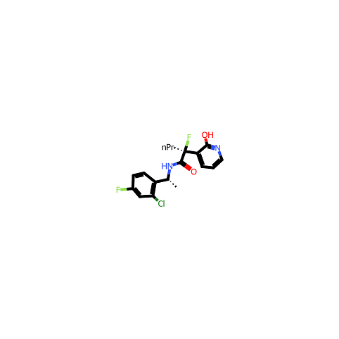 CCC[C@@](F)(C(=O)N[C@H](C)c1ccc(F)cc1Cl)c1cccnc1O